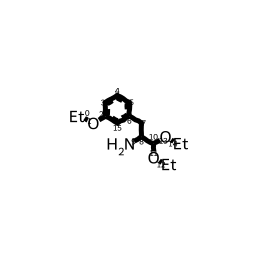 CCOc1cccc(CC(N)C(OCC)OCC)c1